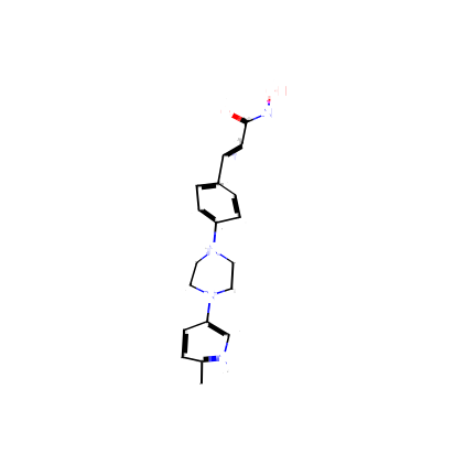 Cc1ccc(N2CCN(c3ccc(/C=C/C(=O)NO)cc3)CC2)cn1